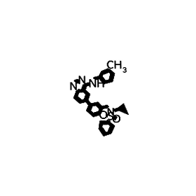 Cc1cccc(CNc2ncnc3ccc(-c4cccc(CN(C5CC5)S(=O)(=O)c5ccccc5)c4)cc23)c1